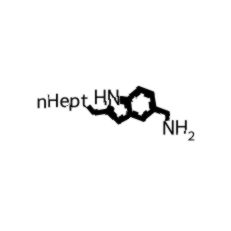 CCCCCCCCc1cc2cc(CN)ccc2[nH]1